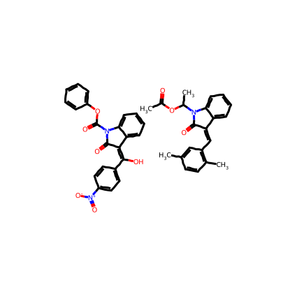 CC(=O)OC(C)N1C(=O)/C(=C\c2cc(C)ccc2C)c2ccccc21.O=C(Oc1ccccc1)N1C(=O)/C(=C(/O)c2ccc([N+](=O)[O-])cc2)c2ccccc21